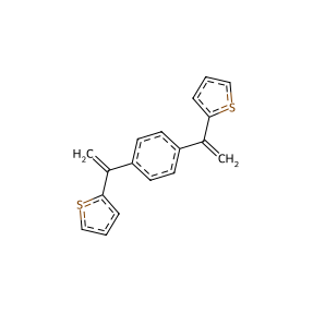 C=C(c1ccc(C(=C)c2cccs2)cc1)c1cccs1